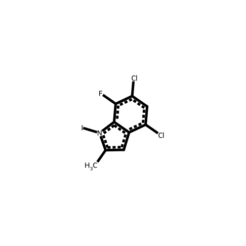 Cc1cc2c(Cl)cc(Cl)c(F)c2n1I